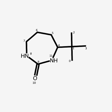 CC(C)(C)C1CCCNC(=O)N1